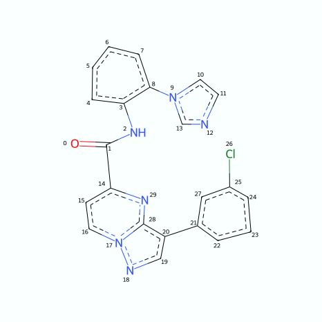 O=C(Nc1ccccc1-n1ccnc1)c1ccn2ncc(-c3cccc(Cl)c3)c2n1